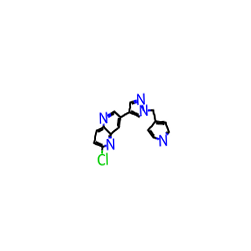 Clc1ccc2ncc(-c3cnn(Cc4ccncc4)c3)cc2n1